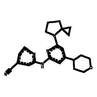 N#Cc1ccnc(Nc2cc(C3CCOCC3)cc(N3CCCC34CC4)n2)c1